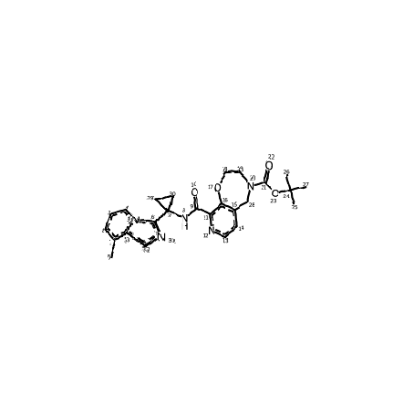 Cc1cccn2c(C3(NC(=O)c4nccc5c4OCCN(C(=O)OC(C)(C)C)C5)CC3)ncc12